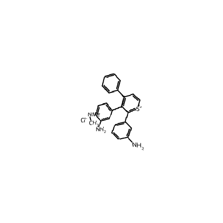 CNC.Nc1cccc(-c2[s+]ccc(-c3ccccc3)c2-c2cccc(N)c2)c1.[Cl-]